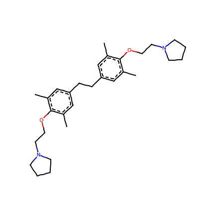 Cc1cc(CCc2cc(C)c(OCCN3CCCC3)c(C)c2)cc(C)c1OCCN1CCCC1